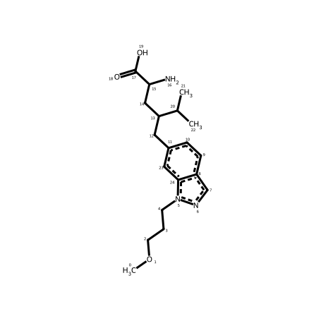 COCCCn1ncc2ccc(CC(CC(N)C(=O)O)C(C)C)cc21